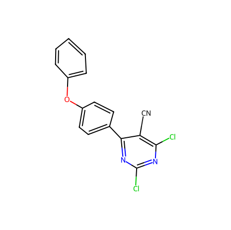 N#Cc1c(Cl)nc(Cl)nc1-c1ccc(Oc2ccccc2)cc1